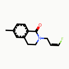 Cc1ccc2c(c1)CCN(C/C=C\F)C2=O